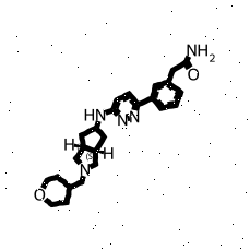 NC(=O)Cc1cccc(-c2ccc(NC3C[C@@H]4CN(CC5CCOCC5)C[C@@H]4C3)nn2)c1